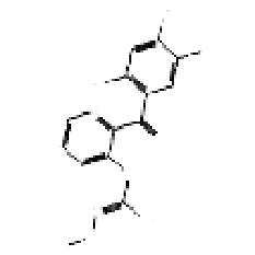 CC(C)(C)ON=C(Oc1cccnc1C(=O)c1cc(Cl)c(C#N)cc1O)C(C)(C)C